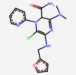 CN(C)C1=NC(NCc2ccco2)=C(Cl)N(c2ccccn2)C1C(N)=O